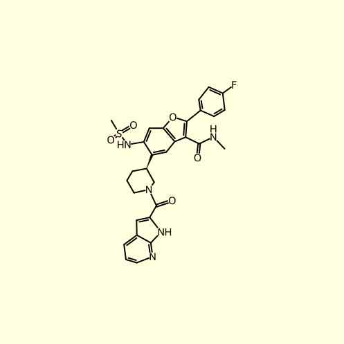 CNC(=O)c1c(-c2ccc(F)cc2)oc2cc(NS(C)(=O)=O)c([C@@H]3CCCN(C(=O)c4cc5cccnc5[nH]4)C3)cc12